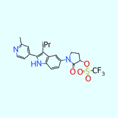 Cc1cc(-c2[nH]c3ccc(N4CCC(OS(=O)(=O)C(F)(F)F)C4=O)cc3c2C(C)C)ccn1